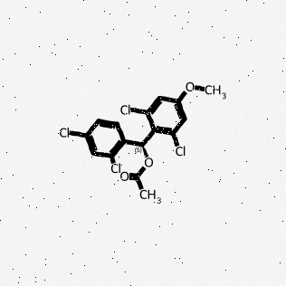 COc1cc(Cl)c([C@@H](OC(C)=O)c2ccc(Cl)cc2Cl)c(Cl)c1